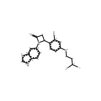 O=C1CC(c2ccc(OCCC(F)F)cc2F)N1c1ccc2[nH]cnc2c1